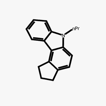 CCCn1c2ccccc2c2c3c(ccc21)CCC3